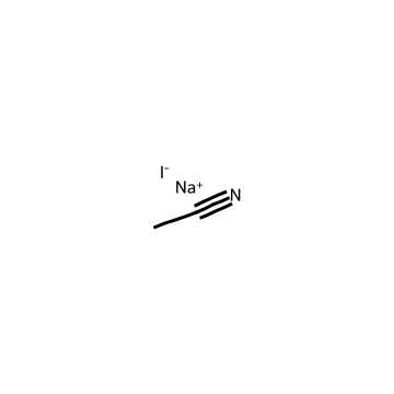 CC#N.[I-].[Na+]